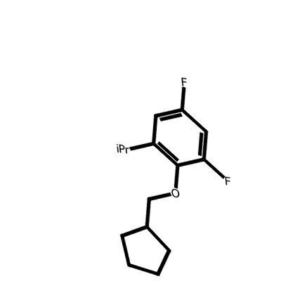 CC(C)c1cc(F)cc(F)c1OCC1CCCC1